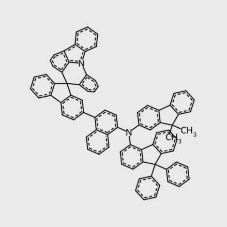 CC1(C)c2ccccc2-c2ccc(N(c3cccc4c3-c3ccccc3C4(c3ccccc3)c3ccccc3)c3ccc(-c4ccc5c(c4)C4(c6ccccc6-5)c5ccccc5-n5c6ccccc6c6cccc4c65)c4ccccc34)cc21